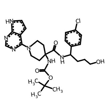 CC(C)(C)OC(=O)NC1(C(=O)NC(CCCO)c2ccc(Cl)cc2)CCN(c2ncnc3[nH]ccc23)CC1